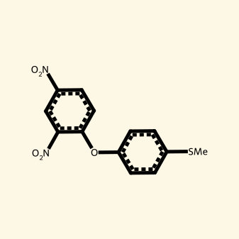 CSc1ccc(Oc2ccc([N+](=O)[O-])cc2[N+](=O)[O-])cc1